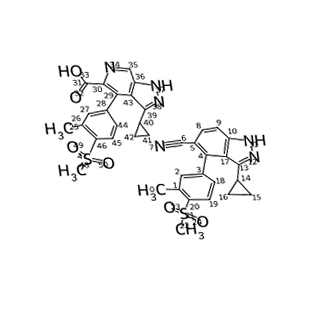 Cc1cc(-c2c(C#N)ccc3[nH]nc(C4CC4)c23)ccc1S(C)(=O)=O.Cc1cc(-c2c(C(=O)O)ncc3[nH]nc(C4CC4)c23)ccc1S(C)(=O)=O